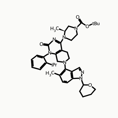 Cc1ccc2c(cnn2C2CCCCO2)c1N1CCc2c(N3CCN(C(=O)OC(C)(C)C)C[C@@H]3C)nc(=O)n(-c3ccccc3C(C)C)c2C1